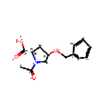 CC(=O)N1C[C@H](OCc2ccccc2)C[C@H]1C(=O)O